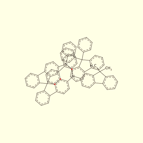 CC1(C)c2ccccc2-c2ccc(N(c3ccc4c(c3)C3(c5ccccc5-4)c4ccccc4-c4ccc(N(c5ccccc5)c5cccc6c5C(c5ccccc5)(c5ccccc5)c5ccccc5-6)cc43)c3ccccc3-c3ccccc3)cc21